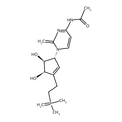 C=C1N=C(NC(C)=O)C=CN1[C@@H]1C=C(CCP(=C)(C)C)[C@@H](O)[C@H]1O